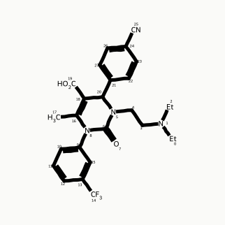 CCN(CC)CCN1C(=O)N(c2cccc(C(F)(F)F)c2)C(C)=C(C(=O)O)C1c1ccc(C#N)cc1